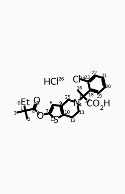 CCC(C)(C)C(=O)Oc1cc2c(s1)CCN(C(C)(C(=O)O)c1ccccc1Cl)C2.Cl